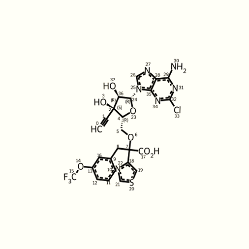 C#C[C@@]1(O)[C@@H](COC(Cc2cccc(OC(F)(F)F)c2)(C(=O)O)c2cscn2)O[C@@H](n2cnc3c(N)nc(Cl)nc32)[C@@H]1O